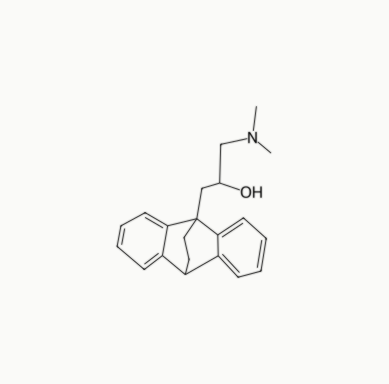 CN(C)CC(O)CC12CCC(c3ccccc31)c1ccccc12